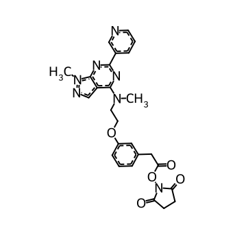 CN(CCOc1cccc(CC(=O)ON2C(=O)CCC2=O)c1)c1nc(-c2cccnc2)nc2c1cnn2C